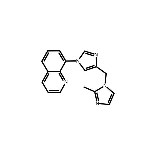 Cc1nccn1Cc1cn(-c2cccc3cccnc23)cn1